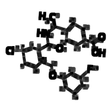 C[C@H](NC(=O)c1cc(Cl)ccc1COc1cccc(F)c1)c1ccc(C(=O)O)cc1